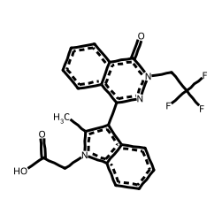 Cc1c(-c2nn(CC(F)(F)F)c(=O)c3ccccc23)c2ccccc2n1CC(=O)O